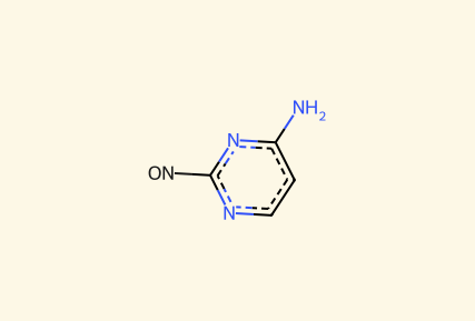 Nc1ccnc(N=O)n1